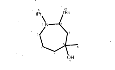 CC(C)N1CCCC(C)(O)CC1C(C)(C)C